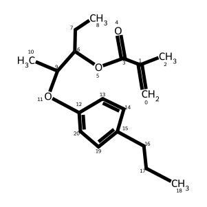 C=C(C)C(=O)OC(CC)C(C)Oc1ccc(CCC)cc1